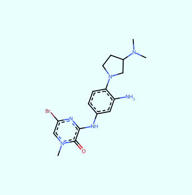 CN(C)C1CCN(c2ccc(Nc3nc(Br)cn(C)c3=O)cc2N)C1